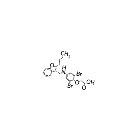 CCCCc1oc2ccccc2c1CNc1cc(Br)c(OCC(=O)O)c(Br)c1